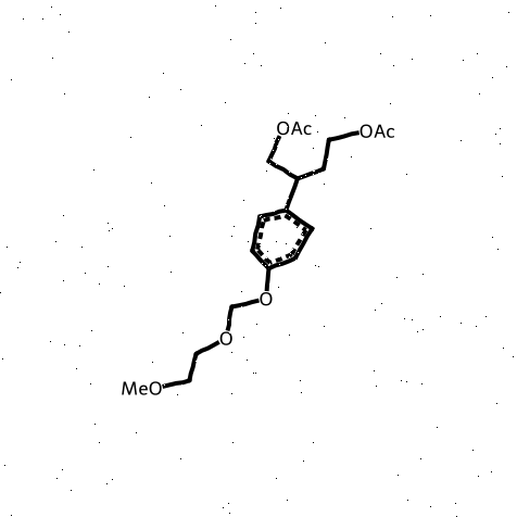 COCCOCOc1ccc(C(CCOC(C)=O)COC(C)=O)cc1